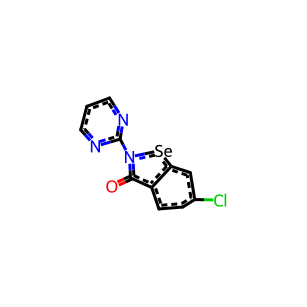 O=c1c2ccc(Cl)cc2[se]n1-c1ncccn1